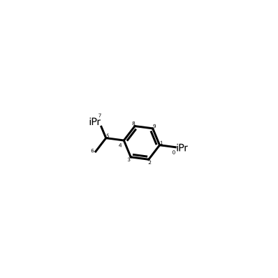 CC(C)c1ccc(C(C)C(C)C)cc1